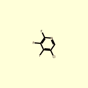 Fc1ncc(Cl)c(I)c1F